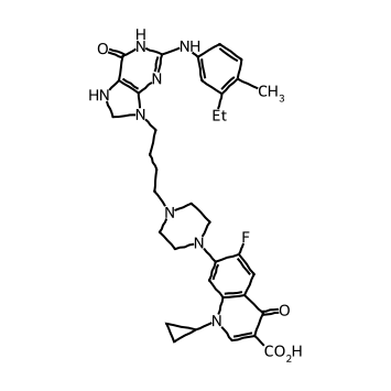 CCc1cc(Nc2nc3c(c(=O)[nH]2)NCN3CCCCN2CCN(c3cc4c(cc3F)c(=O)c(C(=O)O)cn4C3CC3)CC2)ccc1C